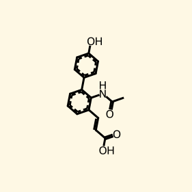 CC(=O)Nc1c(C=CC(=O)O)cccc1-c1ccc(O)cc1